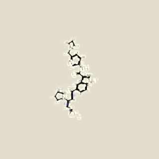 C=N/C=C(\C=C(/C)c1ccc2[nH]nc(C(=O)Nc3ccc(CN4CCC4)nc3)c2c1)N1CCCC1